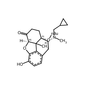 CCCCO[C@@]12CCC(=O)[C@@H]3Oc4c(O)ccc(c4C31C)C[C@H]2N(C)CC1CC1